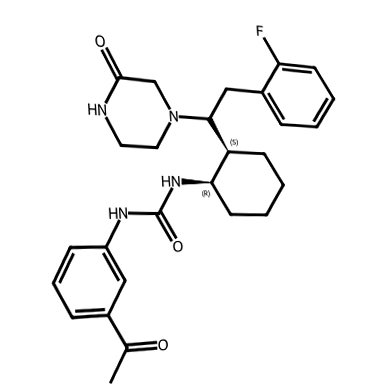 CC(=O)c1cccc(NC(=O)N[C@@H]2CCCC[C@@H]2C(Cc2ccccc2F)N2CCNC(=O)C2)c1